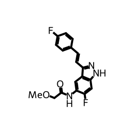 COCC(=O)Nc1cc2c(C=Cc3ccc(F)cc3)n[nH]c2cc1F